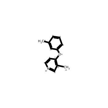 Cc1cccc(Oc2ccncc2C)c1